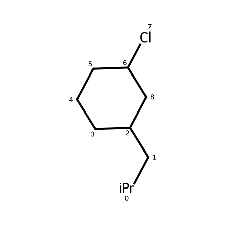 CC(C)CC1CCCC(Cl)C1